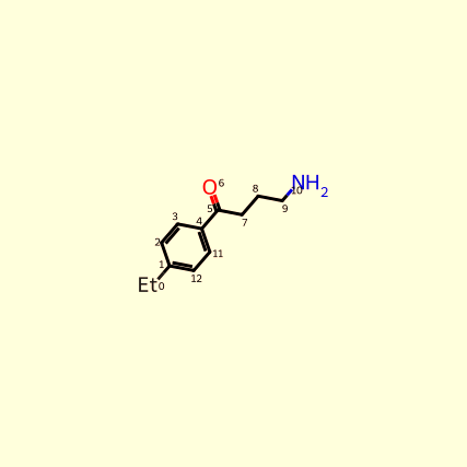 CCc1ccc(C(=O)CCCN)cc1